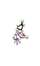 CCCCN([C@@H]1CCCCNC1=O)S(=O)(=O)c1ccc(Cl)cc1